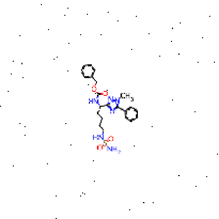 Cn1nc(C(CCCCNS(N)(=O)=O)NC(=O)OCc2ccccc2)nc1-c1ccccc1